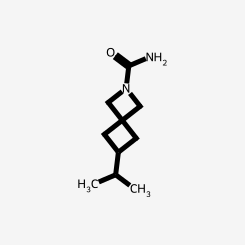 CC(C)C1CC2(C1)CN(C(N)=O)C2